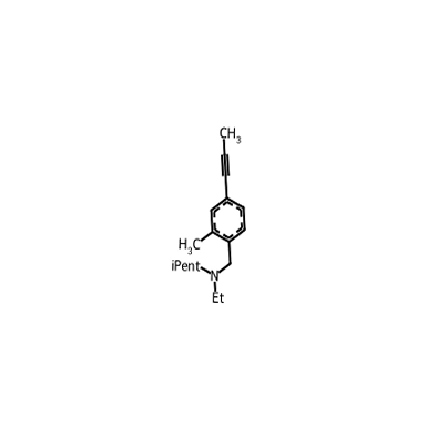 CC#Cc1ccc(CN(CC)C(C)CCC)c(C)c1